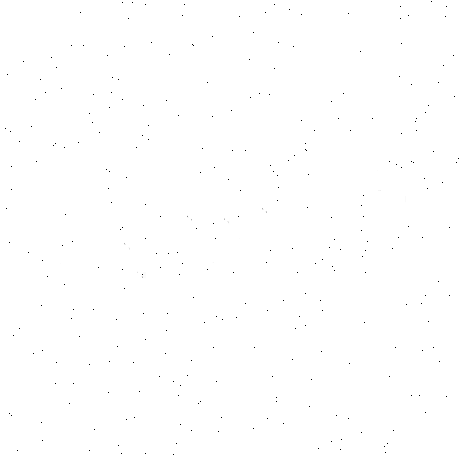 O=C(O)CCC1=CC=C(N2CCN(c3ncc(-c4nc5cc(Cl)ccc5[nH]4)cc3F)CC2)CC1